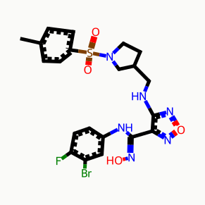 Cc1ccc(S(=O)(=O)N2CCC(CNc3nonc3/C(=N/O)Nc3ccc(F)c(Br)c3)C2)cc1